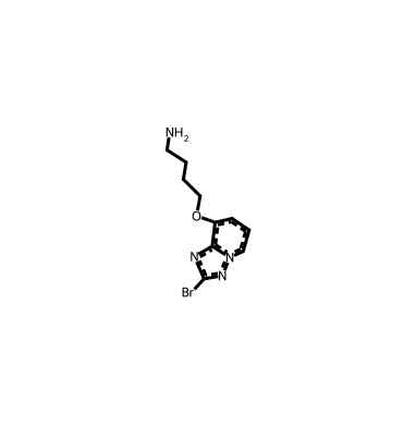 NCCCCOc1cccn2nc(Br)nc12